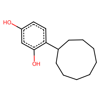 Oc1ccc(C2CCCCCCCC2)c(O)c1